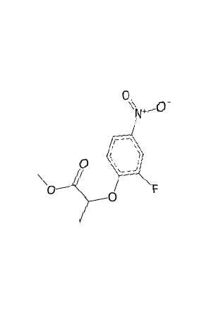 COC(=O)C(C)Oc1ccc([N+](=O)[O-])cc1F